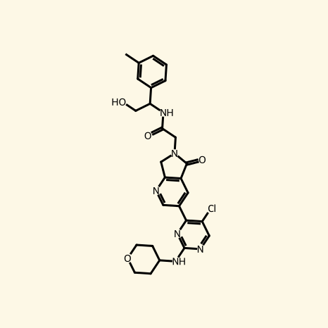 Cc1cccc(C(CO)NC(=O)CN2Cc3ncc(-c4nc(NC5CCOCC5)ncc4Cl)cc3C2=O)c1